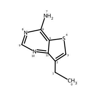 CCc1csc2c(N)ncnc12